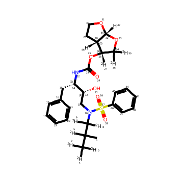 [2H]C([2H])([2H])C([2H])(C)C([2H])([2H])N(C[C@@H](O)[C@H](Cc1ccccc1)NC(=O)O[C@]1([2H])[C@@H]2CCO[C@@H]2OC1([2H])[2H])S(=O)(=O)c1ccccc1